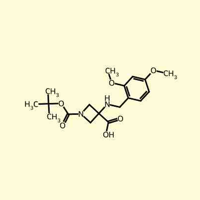 COc1ccc(CNC2(C(=O)O)CN(C(=O)OC(C)(C)C)C2)c(OC)c1